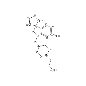 OCCN1CCN(CCCC2(c3ccc(F)cc3)OCCO2)CC1